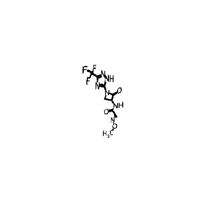 CON=CC(=O)NC1CN(c2nc(C(F)(F)F)n[nH]2)C1=O